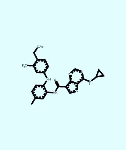 CC(=O)OCc1ccc(Nc2ccc(C)cc2NC(=O)c2csc3c(NC4CC4)ncnc23)cc1C(F)(F)F